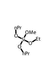 CCCO[Si](OC)(OCC)OCCC